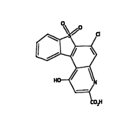 O=C(O)c1cc(O)c2c3c(c(Cl)cc2n1)S(=O)(=O)c1ccccc1-3